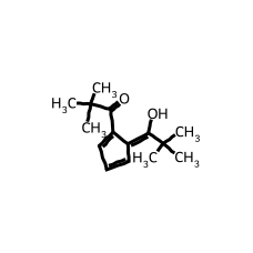 CC(C)(C)C(=O)C1=CC=C/C1=C(/O)C(C)(C)C